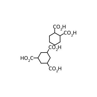 O=C(O)C1CC(C(=O)O)CC(C(=O)O)C1.O=C(O)C1CCCCC1C(=O)O